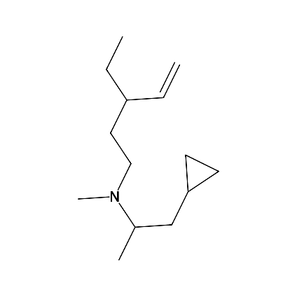 C=CC(CC)CCN(C)C(C)CC1CC1